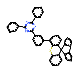 c1ccc(-c2nc(-c3ccccc3)nc(-c3cccc(-c4cccc5c4Sc4ccccc4C54c5ccccc5-c5ccccc54)c3)n2)cc1